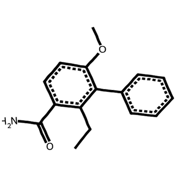 CCc1c(C(N)=O)ccc(OC)c1-c1ccccc1